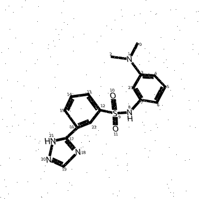 CN(C)c1cccc(NS(=O)(=O)c2cccc(-c3ncn[nH]3)c2)c1